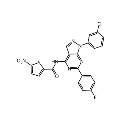 O=C(Nc1nc(-c2ccc(F)cc2)nc2c1cnn2-c1cccc(Cl)c1)c1ccc([N+](=O)[O-])s1